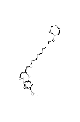 Cc1cc(OC(CO)COCCCCCCCOC2CCCCO2)no1